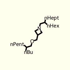 CCCCCCCC(CCCCCC)CN1CC(COCC(CCCC)CCCCC)C1